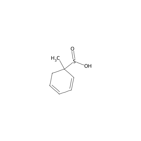 CC1(S(=O)O)C=CC=CC1